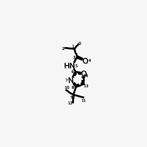 CC(C)C(=O)Nc1nc(C(C)(C)C)co1